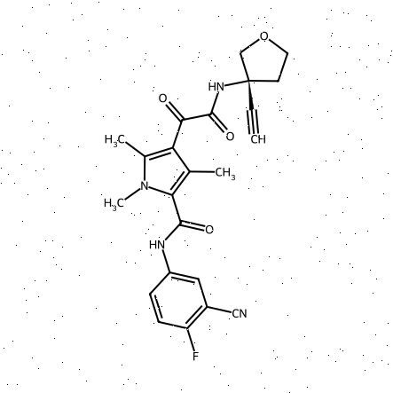 C#C[C@]1(NC(=O)C(=O)c2c(C)c(C(=O)Nc3ccc(F)c(C#N)c3)n(C)c2C)CCOC1